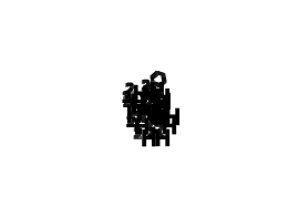 [2H]c1c([2H])c([2H])c(NC2(C(=O)O)C([2H])([2H])C([2H])([2H])N(Cc3ccccc3)C([2H])([2H])C2([2H])[2H])c([2H])c1[2H]